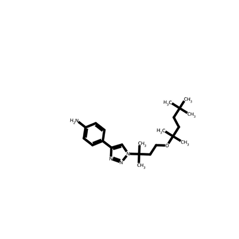 CC(C)(C)CCC(C)(C)OCCC(C)(C)n1cc(-c2ccc(N)cc2)nn1